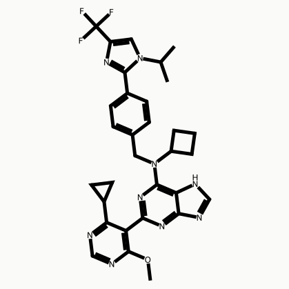 COc1ncnc(C2CC2)c1-c1nc(N(Cc2ccc(-c3nc(C(F)(F)F)cn3C(C)C)cc2)C2CCC2)c2[nH]cnc2n1